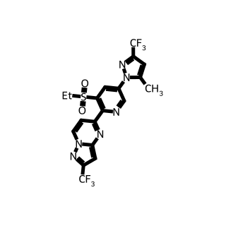 CCS(=O)(=O)c1cc(-n2nc(C(F)(F)F)cc2C)cnc1-c1ccn2nc(C(F)(F)F)cc2n1